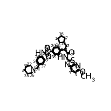 COc1ccc2nc(NC(=O)C(CC3CCCC3)c3ccc(S(=O)(=O)Nc4ccc(CN5CCCCC5)cc4)cc3)sc2n1